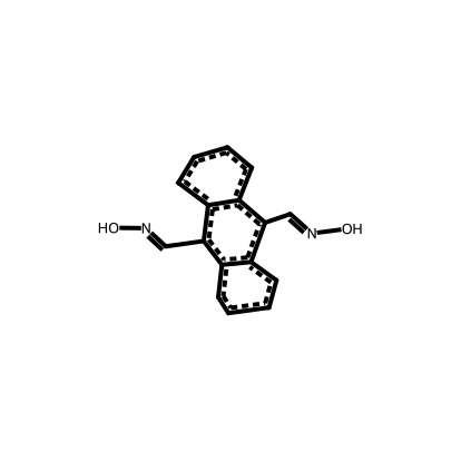 ON=Cc1c2ccccc2c(C=NO)c2ccccc12